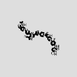 CCC1(C(=O)NC(C)C)CCN(c2ccc(-c3nc(-c4cnn(C5CCN(C(=O)CC6(O)CCN(c7ccc(NC8CCC(=O)NC8=O)cc7F)CC6)CC5)c4)cn4ncc(C#N)c34)cn2)CC1